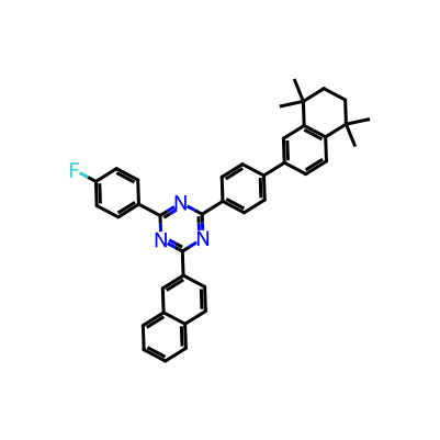 CC1(C)CCC(C)(C)c2cc(-c3ccc(-c4nc(-c5ccc(F)cc5)nc(-c5ccc6ccccc6c5)n4)cc3)ccc21